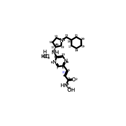 Cl.Cl.O=C(/C=C/c1cnc(N[C@@H]2CCN(CC3CCCCC3)C2)cn1)NO